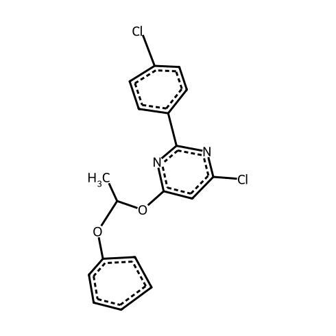 CC(Oc1ccccc1)Oc1cc(Cl)nc(-c2ccc(Cl)cc2)n1